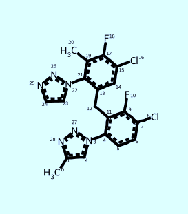 Cc1cn(-c2ccc(Cl)c(F)c2Cc2cc(Cl)c(F)c(C)c2-n2ccnn2)nn1